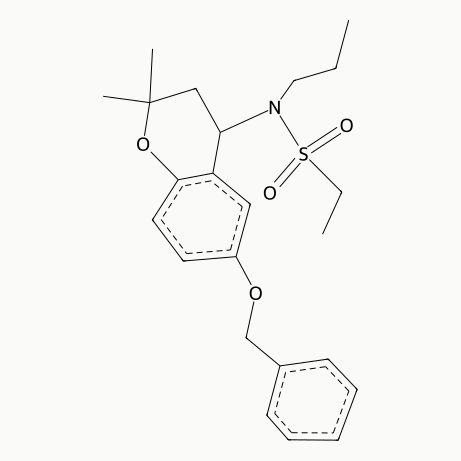 CCCN(C1CC(C)(C)Oc2ccc(OCc3ccccc3)cc21)S(=O)(=O)CC